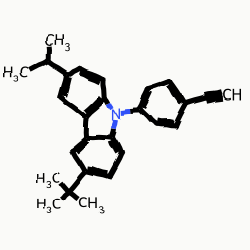 C#Cc1ccc(-n2c3ccc(C(C)C)cc3c3cc(C(C)(C)C)ccc32)cc1